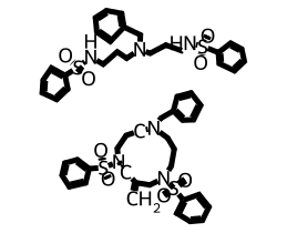 C=C1CN(S(=O)(=O)c2ccccc2)CCCN(Cc2ccccc2)CCCN(S(=O)(=O)c2ccccc2)C1.O=S(=O)(NCCCN(CCCNS(=O)(=O)c1ccccc1)Cc1ccccc1)c1ccccc1